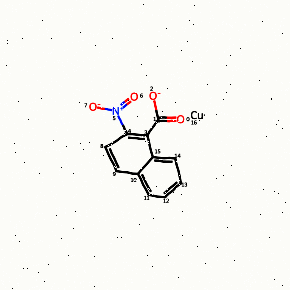 O=C([O-])c1c([N+](=O)[O-])ccc2ccccc12.[Cu]